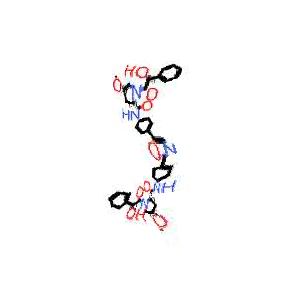 CO[C@H]1C[C@@H](C(=O)Nc2ccc(-c3cnc(-c4ccc(NC(=O)[C@@H]5C[C@H](OC)CN5C(=O)[C@H](O)c5ccccc5)cc4)o3)cc2)N(C(=O)[C@H](O)c2ccccc2)C1